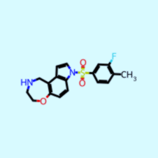 Cc1ccc(S(=O)(=O)n2ccc3c4c(ccc32)OCCNC4)cc1F